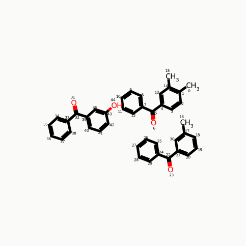 Cc1ccc(C(=O)c2ccccc2)cc1C.Cc1cccc(C(=O)c2ccccc2)c1.O=C(c1ccccc1)c1cccc(O)c1